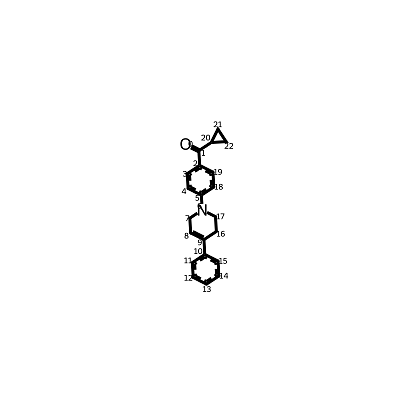 O=C(c1ccc(N2CC=C(c3ccccc3)CC2)cc1)C1CC1